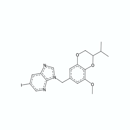 COc1cc(Cn2cnc3cc(I)cnc32)cc2c1OC(C(C)C)CO2